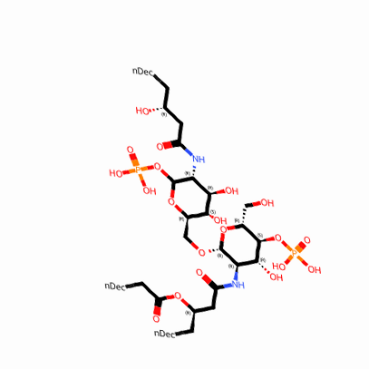 CCCCCCCCCCCC(=O)O[C@H](CCCCCCCCCCC)CC(=O)N[C@H]1[C@H](OC[C@H]2OC(OP(=O)(O)O)[C@H](NC(=O)C[C@H](O)CCCCCCCCCCC)[C@@H](O)[C@@H]2O)O[C@H](CO)[C@@H](OP(=O)(O)O)[C@@H]1O